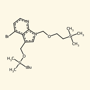 CC(C)(C)[Si](C)(C)OCc1cn(COCC[Si](C)(C)C)c2nccc(Br)c12